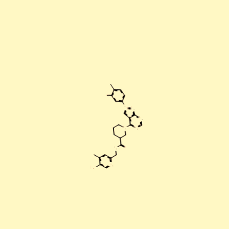 Cc1ccc(-n2cc3c(N4CCCC(C(=O)NCc5cc(C)c(Br)cn5)C4)ncnc3n2)cc1F